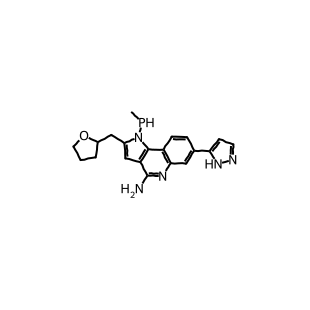 CPn1c(CC2CCCO2)cc2c(N)nc3cc(-c4ccn[nH]4)ccc3c21